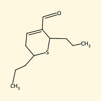 CCCC1CC=C(C=O)C(CCC)S1